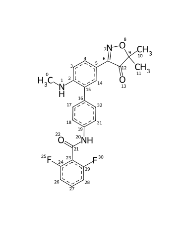 CNc1ccc(C2=NOC(C)(C)C2=O)cc1-c1ccc(NC(=O)c2c(F)cccc2F)cc1